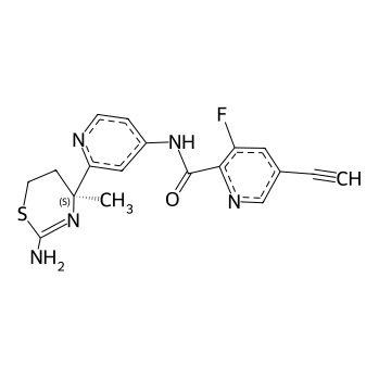 C#Cc1cnc(C(=O)Nc2ccnc([C@]3(C)CCSC(N)=N3)c2)c(F)c1